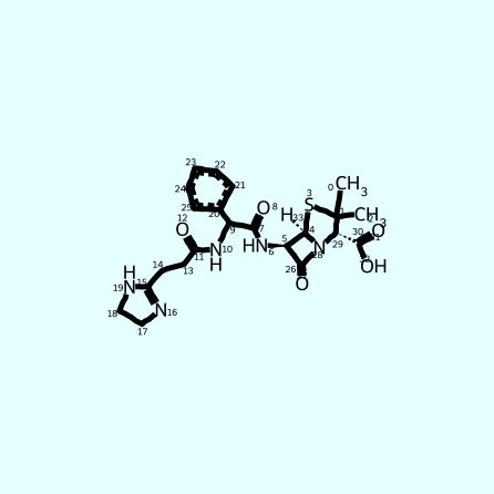 CC1(C)S[C@@H]2[C@H](NC(=O)C(NC(=O)CCC3=NCCN3)c3ccccc3)C(=O)N2[C@H]1C(=O)O